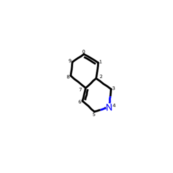 C1=CC2C[N]CC=C2CC1